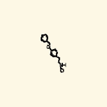 O=CNCCc1ccc(OCc2ccccc2)cc1